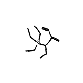 C=CC(=C)C(CC)[Si](CC)(CC)CC